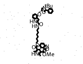 COC(=O)C1=C(C)NC(C)=C(C(=O)OCCCCCCCCNC(=O)c2cc3c(OC[C@@H]4CN(C(C)(C)C)C(c5ccccc5)O4)cccc3[nH]2)[C@H]1c1cccc2nonc12